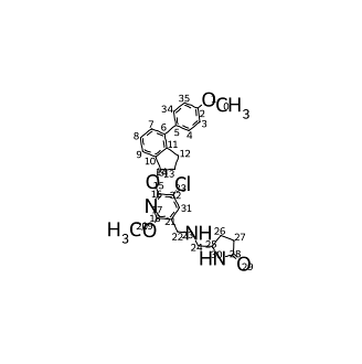 COc1ccc(-c2cccc3c2CC[C@@H]3Oc2nc(OC)c(CNCC3CCC(=O)N3)cc2Cl)cc1